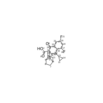 O=C(O)c1c(C2C3CCC2NC3)n(C2CC2)c2c(F)cc(F)cc2c1=O